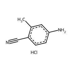 Cc1cc(N)ccc1C#N.Cl